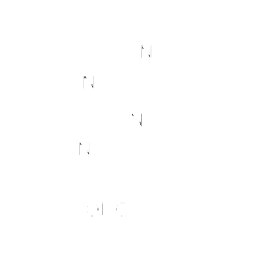 O=CC1=CC=C2C=CN=C3N=CN=C1N23